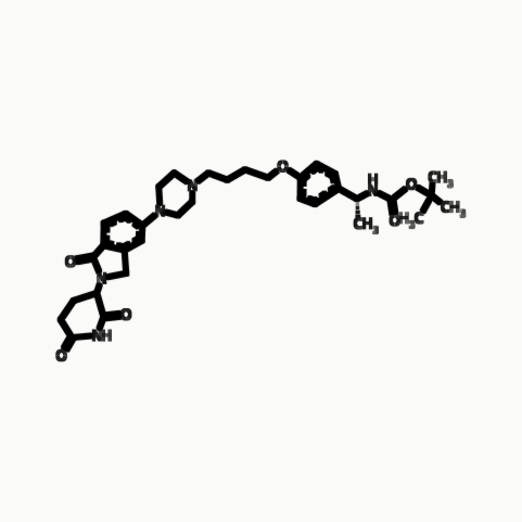 C[C@@H](NC(=O)OC(C)(C)C)c1ccc(OCCCCN2CCN(c3ccc4c(c3)CN(C3CCC(=O)NC3=O)C4=O)CC2)cc1